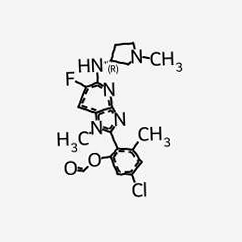 Cc1cc(Cl)cc(OC=O)c1-c1nc2nc(N[C@@H]3CCN(C)C3)c(F)cc2n1C